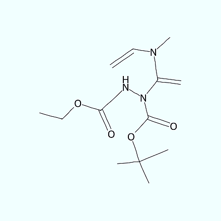 C=CN(C)C(=C)N(NC(=O)OCC)C(=O)OC(C)(C)C